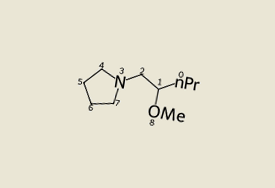 CCCC(CN1CCCC1)OC